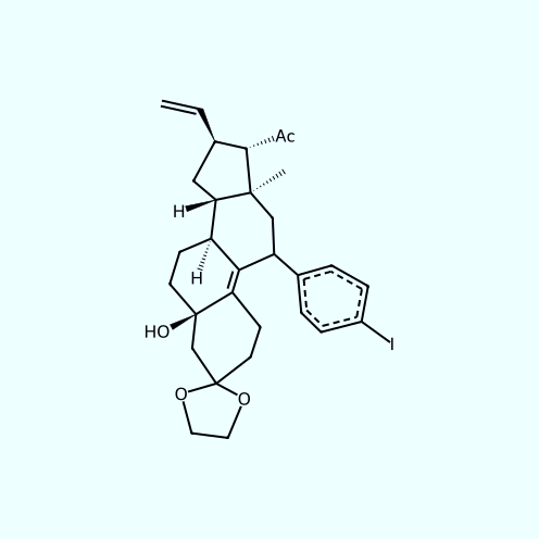 C=C[C@@H]1C[C@H]2[C@@H]3CC[C@@]4(O)CC5(CCC4=C3C(c3ccc(I)cc3)C[C@]2(C)[C@H]1C(C)=O)OCCO5